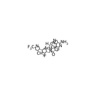 CC(=O)N(C)N(Cc1ccc(-c2cnc(C(F)(F)F)cc2C)cc1F)C(=O)c1ccc2nc(N)c3cnn(C)c3c2c1